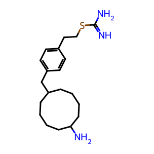 N=C(N)SCCc1ccc(CC2CCCCC(N)CCCC2)cc1